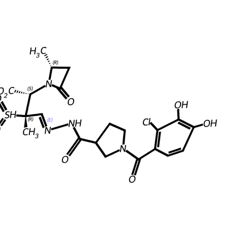 C[C@@H]1CC(=O)N1[C@@H](C(=O)O)[C@](C)(/C=N/NC(=O)C1CCN(C(=O)c2ccc(O)c(O)c2Cl)C1)[SH](=O)=O